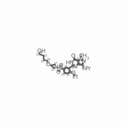 CCCc1nn(C)c2c(=O)[nH]c(-c3cc(S(=O)(=O)N4CC(OCCCCO)C4)ccc3OCC)nc12